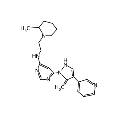 C=C1C(c2cccnc2)=CNN1c1cc(NCCN2CCCCC2C)ncn1